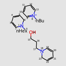 CCCCCCN1C=CC=CC1.CCCC[n+]1ccccc1.OCCCN1C=CC=CC1